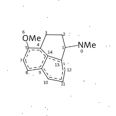 CNC1CCc2c(OC)ccc3cccc1c23